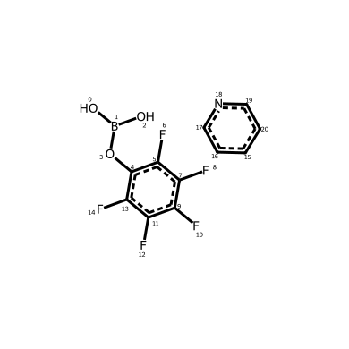 OB(O)Oc1c(F)c(F)c(F)c(F)c1F.c1ccncc1